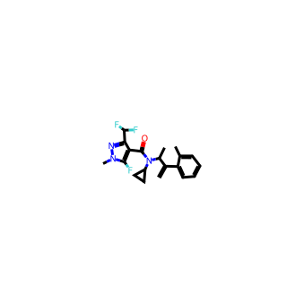 C=C(c1ccccc1C)C(C)N(C(=O)c1c(C(F)F)nn(C)c1F)C1CC1